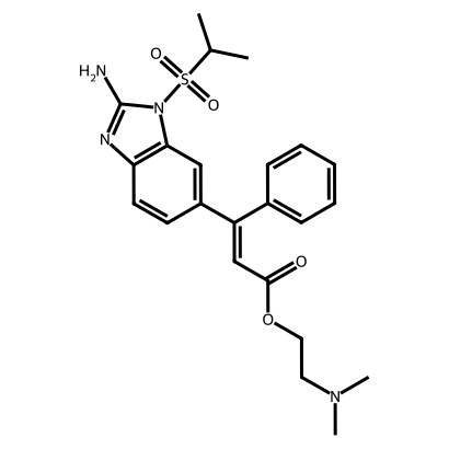 CC(C)S(=O)(=O)n1c(N)nc2ccc(C(=CC(=O)OCCN(C)C)c3ccccc3)cc21